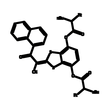 CCCCC(CC)C(=O)Oc1ccc(OC(=O)C(CC)CCCC)c2c1SC(=C(C#N)C(=O)c1cccc3ccccc13)S2